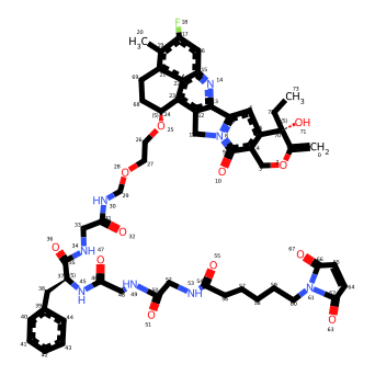 C=C1OCc2c(cc3n(c2=O)Cc2c-3nc3cc(F)c(C)c4c3c2[C@@H](OCCOCNC(=O)CNC(=O)[C@H](Cc2ccccc2)NC(=O)CNC(=O)CNC(=O)CCCCCN2C(=O)C=CC2=O)CC4)[C@@]1(O)CC